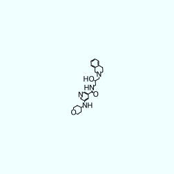 O=C(NCC(O)CN1CCc2ccccc2C1)c1cncc(NC2CCOCC2)c1